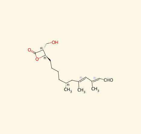 CC(=C\C=O)/C=C(\C)C[C@H](C)CCCC[C@H]1OC(=O)[C@@H]1CO